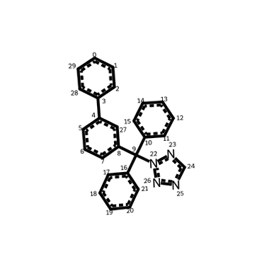 c1ccc(-c2cccc(C(c3ccccc3)(c3ccccc3)n3ncnn3)c2)cc1